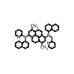 Cc1cc(N(Cc2ccccn2)c2cccc3ccccc23)c2ccc3c(C)cc(N(c4ccccn4)c4cccc5ccccc45)c4ccc1c2c34